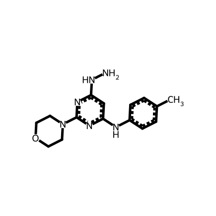 Cc1ccc(Nc2cc(NN)nc(N3CCOCC3)n2)cc1